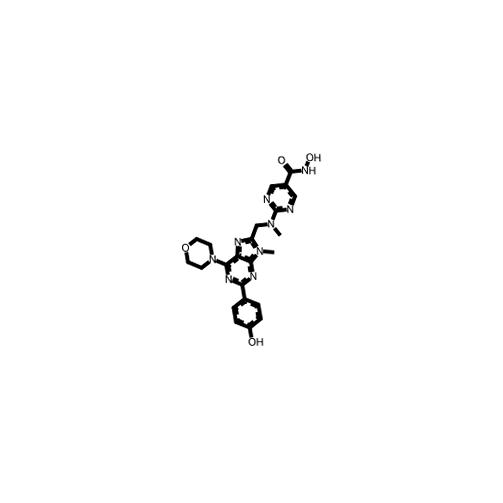 CN(Cc1nc2c(N3CCOCC3)nc(-c3ccc(O)cc3)nc2n1C)c1ncc(C(=O)NO)cn1